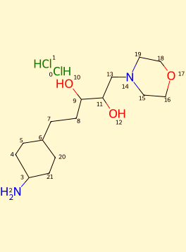 Cl.Cl.NC1CCC(CCC(O)C(O)CN2CCOCC2)CC1